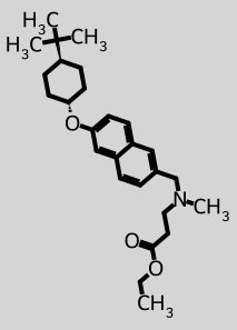 CCOC(=O)CCN(C)Cc1ccc2cc(O[C@H]3CC[C@H](C(C)(C)C)CC3)ccc2c1